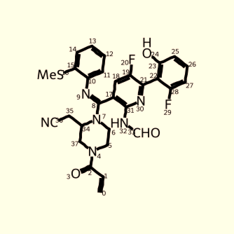 C=CC(=O)N1CCN(/C(=N/c2ccccc2SC)c2cc(F)c(-c3c(O)cccc3F)nc2NC=O)C(CC#N)C1